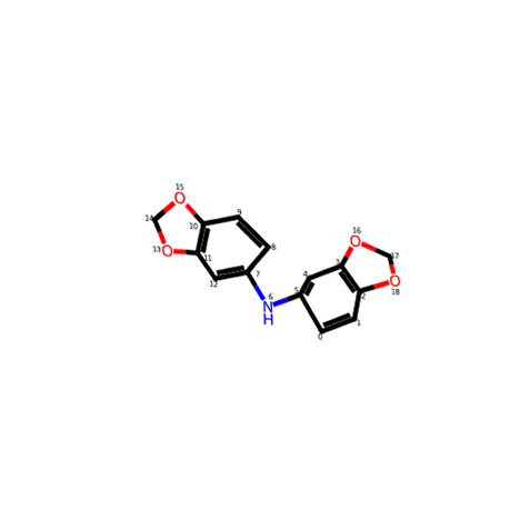 c1cc2c(cc1Nc1ccc3c(c1)OCO3)OCO2